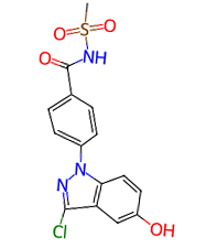 CS(=O)(=O)NC(=O)c1ccc(-n2nc(Cl)c3cc(O)ccc32)cc1